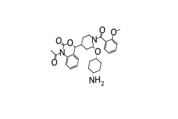 COc1ccccc1C(=O)N1CCC(C2OC(=O)N(C(C)=O)c3ccccc32)CC1O[C@H]1CC[C@@H](N)CC1